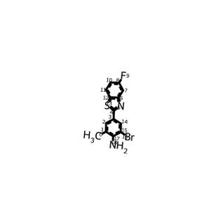 Cc1cc(-c2nc3cc(F)ccc3s2)cc(Br)c1N